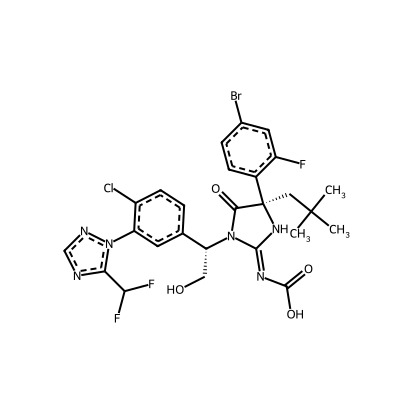 CC(C)(C)C[C@]1(c2ccc(Br)cc2F)N/C(=N\C(=O)O)N([C@H](CO)c2ccc(Cl)c(-n3ncnc3C(F)F)c2)C1=O